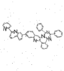 c1ccc(-c2nc(-c3ccccc3)nc(-c3ccccc3-c3ccc4ccc(-c5ccc6ccc(-c7ccccn7)nc6c5)cc4n3)n2)cc1